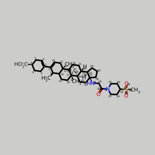 CC1C(C2=CC[C@H](C(=O)O)CC2)=CC[C@@]2(C)C1CC[C@]1(C)C2CC[C@@H]2[C@H]3CCC[C@]3(NCC(=O)N3CCC(S(C)(=O)=O)CC3)CC[C@]21C